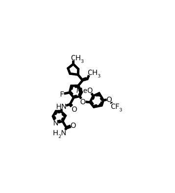 C/C=C(/c1cc(F)c(C(=O)Nc2ccnc(C(N)=O)c2)c(Oc2ccc(OC(F)(F)F)cc2OC)c1)C1CCC(C)C1